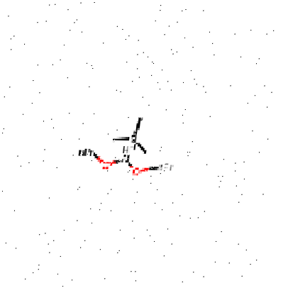 CCC[O][AlH][O]CCC.C[SiH](C)C